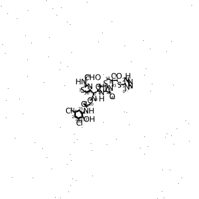 Cn1nnnc1SCC1(C(=O)O)CS[C@@H]2C(NC(=O)C(=NOCC(=O)Nc3cc(Cl)cc(Cl)c3O)c3csc(NC=O)n3)C(=O)N2C1